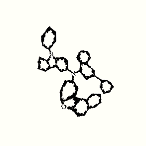 c1ccc(-c2cc(N(c3ccc4oc5ccc6ccccc6c5c4c3)c3ccc4c(c3)c3ccccc3n4-c3ccccc3)c3ccccc3c2)cc1